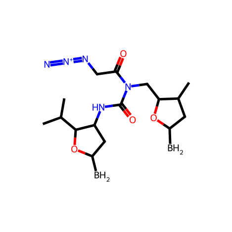 BC1CC(C)C(CN(C(=O)CN=[N+]=[N-])C(=O)NC2CC(B)OC2C(C)C)O1